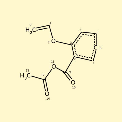 C=COc1ccccc1C(=O)OC(C)=O